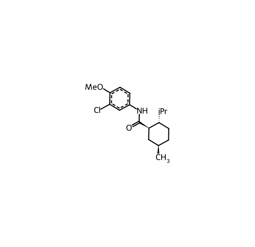 COc1ccc(NC(=O)[C@@H]2C[C@H](C)CC[C@H]2C(C)C)cc1Cl